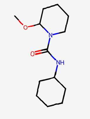 COC1CCCCN1C(=O)NC1CCCCC1